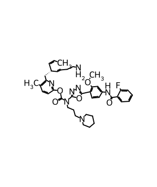 C/C=C\[C@H](/C=C/CCN)Cc1nc(OC(=O)N(CCCN2CCCCC2)c2nnc(-c3ccc(NC(=O)c4ccccc4F)cc3OC)o2)ccc1C